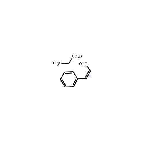 CCOC(=O)CC(=O)OCC.O=C/C=C\c1ccccc1